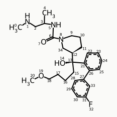 CNCC(C)NC(=O)N1CCC[C@@H]([C@@](O)(CCCCOC)c2ccccc2-c2cccc(F)c2)C1